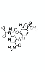 COc1cc(P(C)(C)=O)ccc1Nc1cc(NC(=O)C2CC2)ncc1C(N)=O